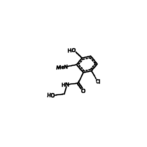 CNc1c(O)ccc(Cl)c1C(=O)NCO